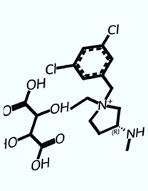 CC[N+]1(Cc2cc(Cl)cc(Cl)c2)CC[C@@H](NC)C1.O=C(O)C(O)C(O)C(=O)O